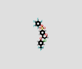 O=S(=O)(Oc1c(F)c(F)c(F)c(F)c1F)c1ccc2c(c1)OCC[C@H]2Oc1ccc(C(F)(F)F)cc1Cl